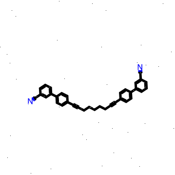 N#Cc1cccc(-c2ccc(C#CCCCCCC#Cc3ccc(-c4cccc(C#N)c4)cc3)cc2)c1